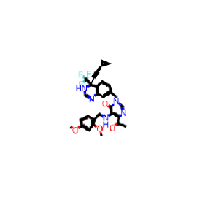 COc1ccc(CNc2c(C(C)=O)ncn(Cc3ccc4c(c3)N=CN[C@]4(C#CC3CC3)C(F)(F)F)c2=O)c(OC)c1